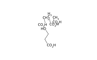 CC(=O)O.CC(=O)O.CC(=O)O.O=C(O)CCO